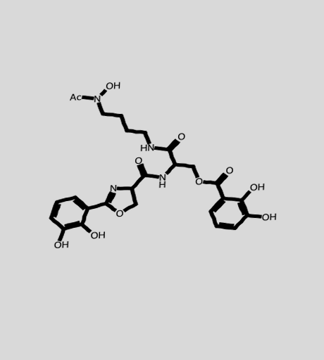 CC(=O)N(O)CCCCNC(=O)C(COC(=O)c1cccc(O)c1O)NC(=O)C1COC(c2cccc(O)c2O)=N1